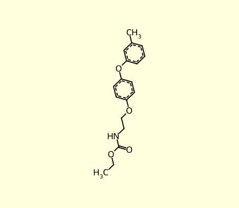 CCOC(=O)NCCOc1ccc(Oc2cccc(C)c2)cc1